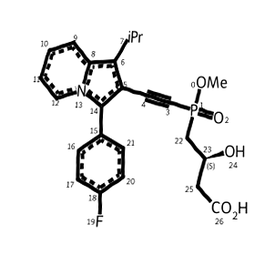 COP(=O)(C#Cc1c(C(C)C)c2ccccn2c1-c1ccc(F)cc1)C[C@@H](O)CC(=O)O